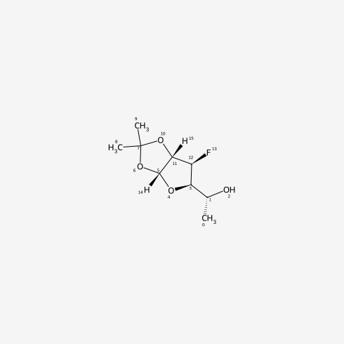 C[C@@H](O)[C@H]1O[C@@H]2OC(C)(C)O[C@@H]2[C@H]1F